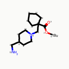 CC(C)(C)OC(=O)C1(CN2CCC(CN)CC2)CCCCC1